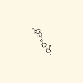 Cc1ccc(-c2ccc(OC[C@@H]3Cn4ccc(=O)nc4O3)cc2)c(F)c1